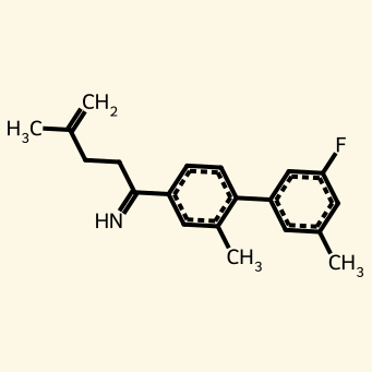 C=C(C)CCC(=N)c1ccc(-c2cc(C)cc(F)c2)c(C)c1